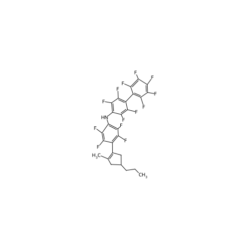 CCCC1CC(C)=C(c2c(F)c(F)c(Nc3c(F)c(F)c(-c4c(F)c(F)c(F)c(F)c4F)c(F)c3F)c(F)c2F)C1